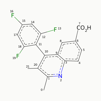 Cc1nc2ccc(C(=O)O)cc2c(-c2c(F)cc(F)cc2F)c1C